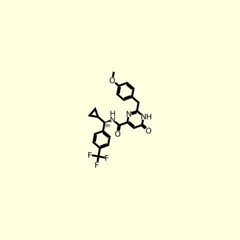 COc1ccc(Cc2nc(C(=O)N[C@@H](c3ccc(C(F)(F)F)cc3)C3CC3)cc(=O)[nH]2)cc1